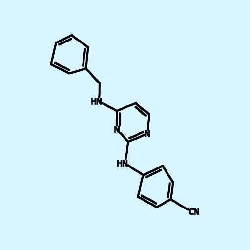 N#Cc1ccc(Nc2nccc(NCc3ccccc3)n2)cc1